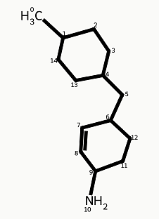 CC1CCC(CC2C=CC(N)CC2)CC1